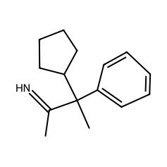 CC(=N)C(C)(c1ccccc1)C1CCCC1